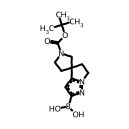 CC(C)(C)OC(=O)N1CCC2(CCn3nc(B(O)O)cc32)C1